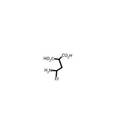 CCC(N)CC(C(=O)O)C(=O)O